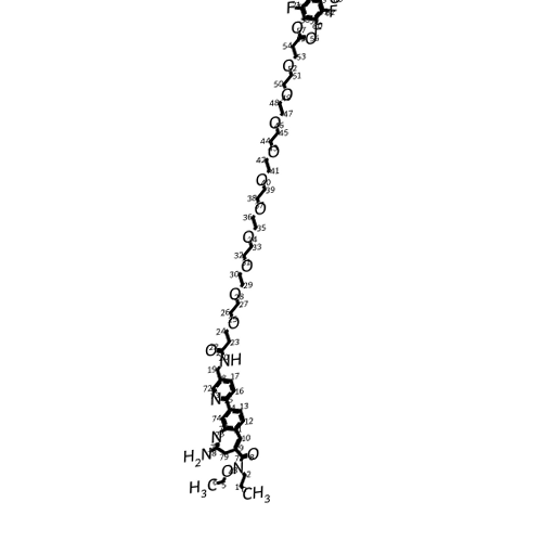 CCCN(OCC)C(=O)C1=Cc2ccc(-c3ccc(CNC(=O)CCOCCOCCOCCOCCOCCOCCOCCOCCOCCOCCC(=O)Oc4c(F)c(F)c(S(=O)(=O)O)c(F)c4F)cn3)cc2N=C(N)C1